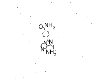 Nc1nccn2c1c(I)nc2[C@H]1CC[C@H](C(N)=O)CC1